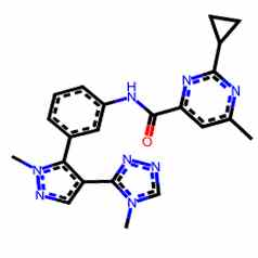 Cc1cc(C(=O)Nc2cccc(-c3c(-c4nncn4C)cnn3C)c2)nc(C2CC2)n1